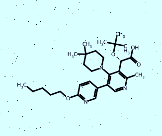 CCCCCOc1ccc(-c2cnc(C)c([C@H](OC(C)(C)C)C(=O)O)c2N2CCC(C)(C)CC2)cn1